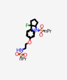 CCCS(=O)(=O)NCCOc1ccc(C2(F)CCCC2NS(=O)(=O)CCC)cc1